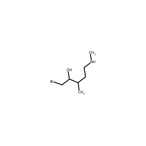 CNCCC(C)C(O)CBr